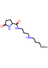 CCCCCCCCCCCCNCCCNC(=O)C1CCC(=O)N1